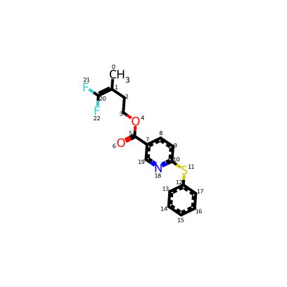 CC(CCOC(=O)c1ccc(Sc2ccccc2)nc1)=C(F)F